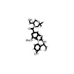 COc1cc(C(=O)N2CC(C)(C)OCC2CO)cc2nc(NC(CF)c3cccc(Cl)c3)oc12